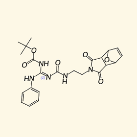 CC(C)(C)OC(=O)N/C(=N\C(=O)NCCN1C(=O)C2C3C=CC(O3)C2C1=O)Nc1ccccc1